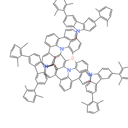 Cc1cccc(C)c1-c1ccc2c(c1)c1cc(-c3c(C)cccc3C)ccc1n2-c1ccc2c(c1)N(c1c(-c3ccccc3)cccc1-c1ccccc1)c1cc(-n3c4ccc(-c5c(C)cccc5C)cc4c4cc(-c5c(C)cccc5C)ccc43)cc3c1B2c1ccc(-n2c4ccc(-c5c(C)cccc5C)cc4c4cc(-c5c(C)cccc5C)ccc42)cc1N3c1c(-c2ccccc2)cccc1-c1ccccc1